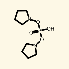 O=P(O)(ON1CCCC1)ON1CCCC1